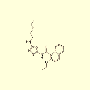 CCOc1ccc2ccccc2c1C(=O)Nc1nnc(NCCSCC)s1